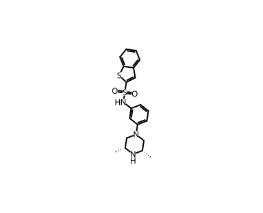 C[C@@H]1CN(c2cccc(NS(=O)(=O)c3cc4ccccc4s3)c2)C[C@H](C)N1